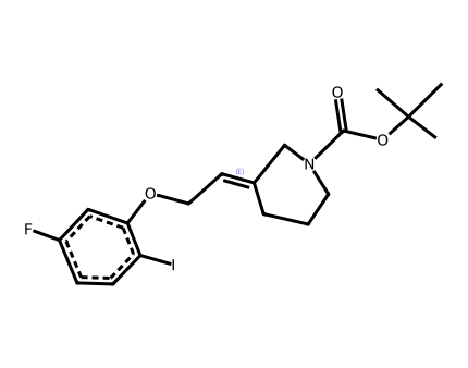 CC(C)(C)OC(=O)N1CCC/C(=C\COc2cc(F)ccc2I)C1